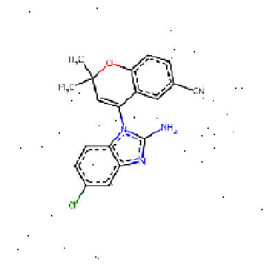 CC1(C)C=C(n2c(N)nc3cc(Cl)ccc32)c2cc(C#N)ccc2O1